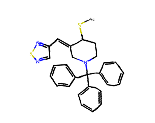 CC(=O)SC1CCN(C(c2ccccc2)(c2ccccc2)c2ccccc2)CC1=Cc1cnsn1